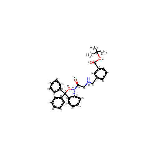 CC(C)(C)OC(=O)c1cccc(CNCC(=O)NOC(c2ccccc2)(c2ccccc2)c2ccccc2)c1